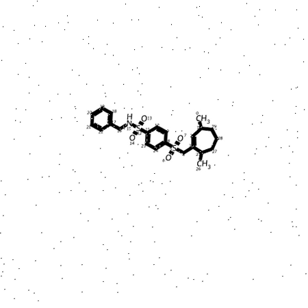 CC1C=C(CS(=O)(=O)c2ccc(S(=O)(=O)NCc3ccccc3)cc2)C(C)CCC1